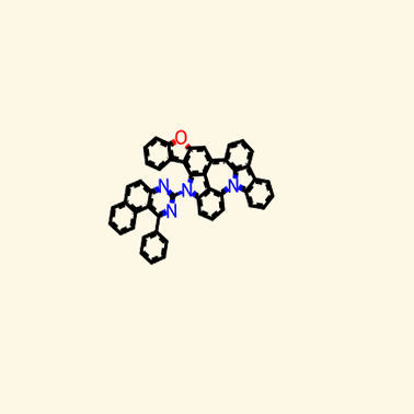 c1ccc(-c2nc(-n3c4cccc5c4c4c(cc6oc7ccccc7c6c43)c3cccc4c6ccccc6n5c34)nc3ccc4ccccc4c23)cc1